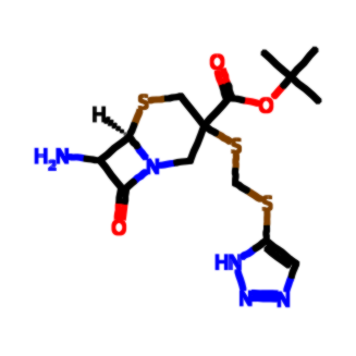 CC(C)(C)OC(=O)C1(SCSc2cnn[nH]2)CS[C@@H]2C(N)C(=O)N2C1